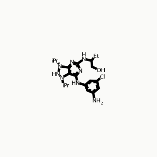 CCC(CO)Nc1nc(Nc2cc(N)cc(Cl)c2)c2c(n1)N(C(C)C)NN2C(C)C